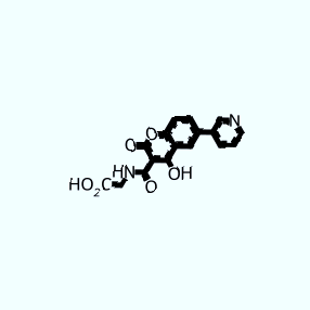 O=C(O)CNC(=O)c1c(O)c2cc(-c3cccnc3)ccc2oc1=O